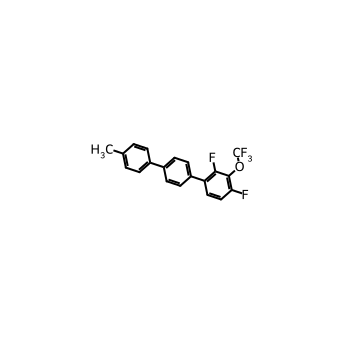 Cc1ccc(-c2ccc(-c3ccc(F)c(OC(F)(F)F)c3F)cc2)cc1